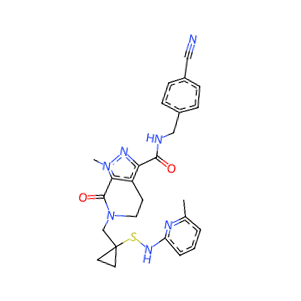 Cc1cccc(NSC2(CN3CCc4c(C(=O)NCc5ccc(C#N)cc5)nn(C)c4C3=O)CC2)n1